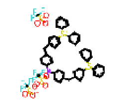 O=S(=O)([O-])C(F)(F)F.O=S(=O)([O-])C(F)(F)F.O=S(=O)([O-])C(F)(F)F.c1ccc([S+](c2ccccc2)c2ccc(Cc3ccc([I+]c4ccc(Cc5ccc([S+](c6ccccc6)c6ccccc6)cc5)cc4)cc3)cc2)cc1